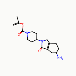 C=C(C)OC(=O)N1CCC(N2CC3=C(CC(N)CC3)C2=O)CC1